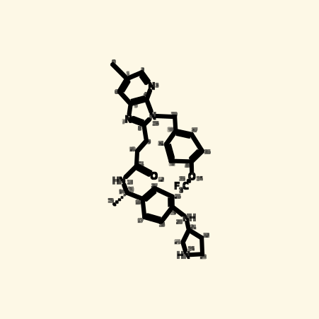 Cc1cnc2c(c1)nc(CCC(=O)N[C@@H](C)c1ccc(NC3CCNC3)cc1)n2Cc1ccc(OC(F)(F)F)cc1